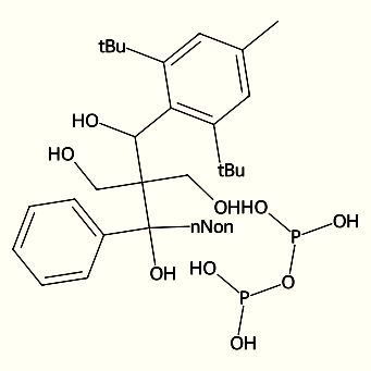 CCCCCCCCCC(O)(c1ccccc1)C(CO)(CO)C(O)c1c(C(C)(C)C)cc(C)cc1C(C)(C)C.OP(O)OP(O)O